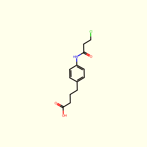 O=C(O)CCCc1ccc(NC(=O)CCCl)cc1